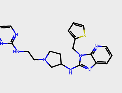 c1cnc(NCCN2CCC(Nc3nc4cccnc4n3Cc3cccs3)C2)nc1